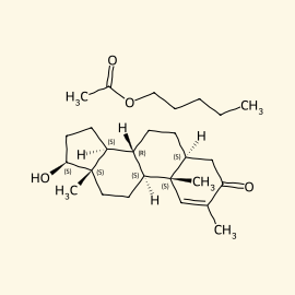 CC1=C[C@@]2(C)[C@@H](CC[C@@H]3[C@@H]2CC[C@]2(C)[C@@H](O)CC[C@@H]32)CC1=O.CCCCCOC(C)=O